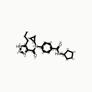 CCCc1[nH]nnc1C(=O)N(c1ccc(C(=O)NC2CCCC2)cc1)C1CC1